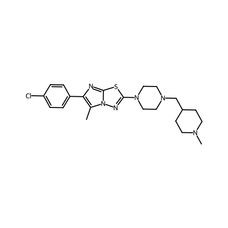 Cc1c(-c2ccc(Cl)cc2)nc2sc(N3CCN(CC4CCN(C)CC4)CC3)nn12